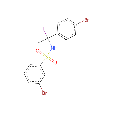 CC(I)(NS(=O)(=O)c1cccc(Br)c1)c1ccc(Br)cc1